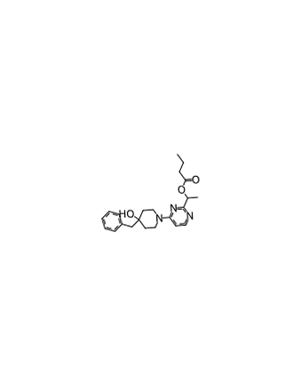 CCCC(=O)OC(C)c1nccc(N2CCC(O)(Cc3ccccc3)CC2)n1